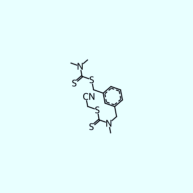 CN(C)C(=S)SCc1cccc(CN(C)C(=S)SCC#N)c1